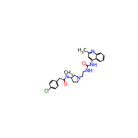 Cc1cc(NC(=O)NCCN2CCC(N(C)C(=O)Cc3ccc(Cl)cc3)C2)c2ccccc2n1